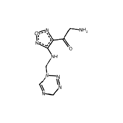 NCC(=O)c1nonc1NCN1C=NCN=N1